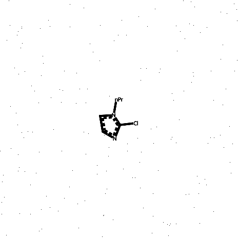 CCCn1ccnc1Cl